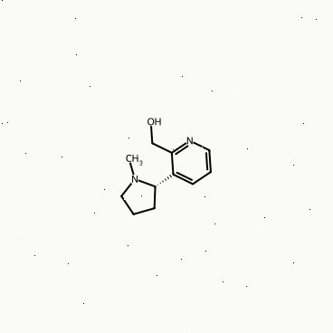 CN1CCC[C@H]1c1cccnc1CO